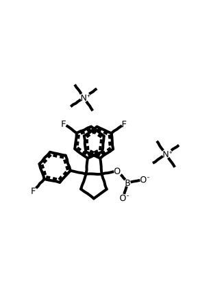 C[N+](C)(C)C.C[N+](C)(C)C.[O-]B([O-])OC1(c2cccc(F)c2)CCCC1(c1cccc(F)c1)c1cccc(F)c1